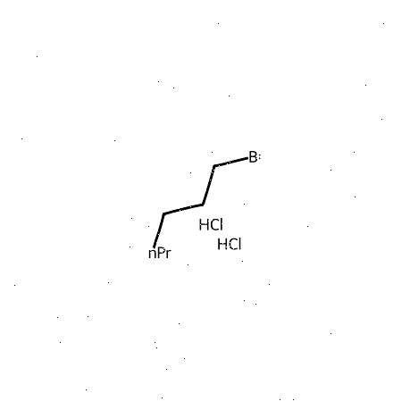 Cl.Cl.[B]CCCCCC